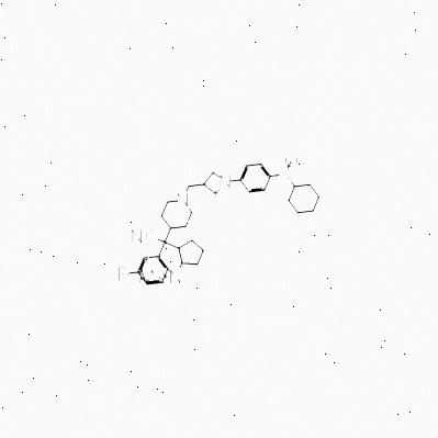 CNC1CCCC1C(C#N)(c1cccc(F)c1)C1CCN(CC2CN(c3ccc([S+]([O-])C4CCCCC4)cc3)C2)CC1